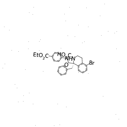 CCOC(=O)c1ccc(NC(=O)[C@]2(Cc3ccccc3)c3cccc(Br)c3CCN2C(=O)O)cc1